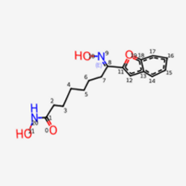 O=C(CCCCCC/C(=N\O)c1cc2ccccc2o1)NO